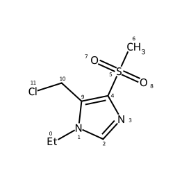 CCn1cnc(S(C)(=O)=O)c1CCl